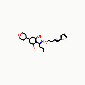 CCCC(=NOCC/C=C/c1cccs1)C1=C(O)CC(C2CCOCC2)CC1=O